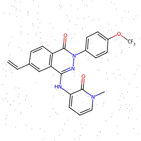 C=Cc1ccc2c(=O)n(-c3ccc(OC(F)(F)F)cc3)nc(Nc3cccn(C)c3=O)c2c1